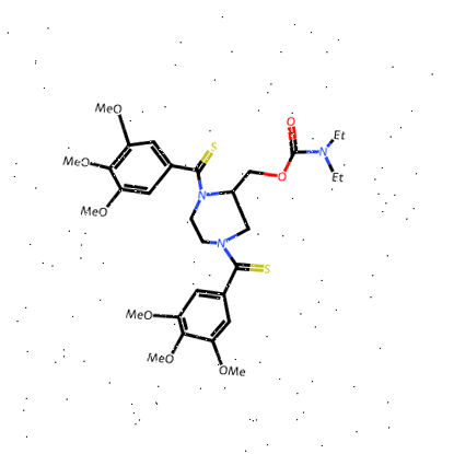 CCN(CC)C(=O)OCC1CN(C(=S)c2cc(OC)c(OC)c(OC)c2)CCN1C(=S)c1cc(OC)c(OC)c(OC)c1